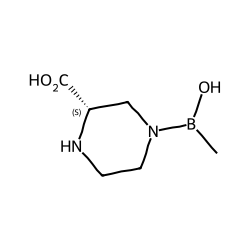 CB(O)N1CCN[C@H](C(=O)O)C1